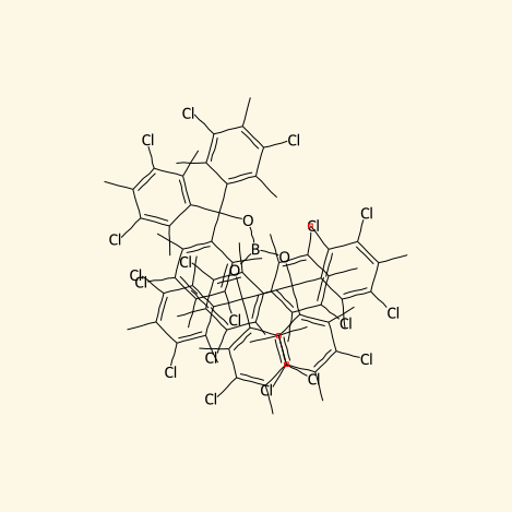 Cc1c(Cl)c(C)c(C(OB(OC(c2c(C)c(Cl)c(C)c(Cl)c2C)(c2c(C)c(Cl)c(C)c(Cl)c2C)c2c(C)c(Cl)c(C)c(Cl)c2C)OC(c2c(C)c(Cl)c(C)c(Cl)c2C)(c2c(C)c(Cl)c(C)c(Cl)c2C)c2c(C)c(Cl)c(C)c(Cl)c2C)(c2c(C)c(Cl)c(C)c(Cl)c2C)c2c(C)c(Cl)c(C)c(Cl)c2C)c(C)c1Cl